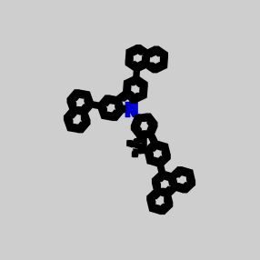 C[Si]1(C)c2cc(-c3cc4ccccc4c4ccccc34)ccc2-c2ccc(-n3c4ccc(-c5cccc6ccccc56)cc4c4cc(-c5cccc6ccccc56)ccc43)cc21